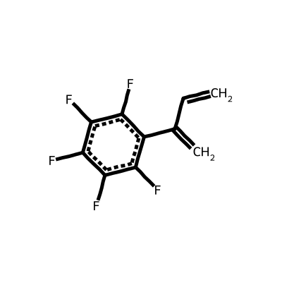 C=CC(=C)c1c(F)c(F)c(F)c(F)c1F